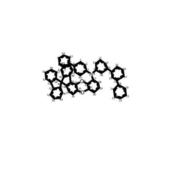 c1ccc(-c2ccc(N(c3cccc(-c4cccc(-c5ccccc5)c4)c3)c3cccc4c3Oc3c(ccc5c3-c3ccccc3C53c5ccccc5-c5ccccc53)O4)cc2)cc1